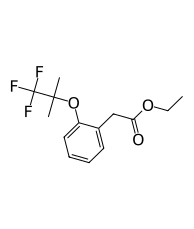 CCOC(=O)Cc1ccccc1OC(C)(C)C(F)(F)F